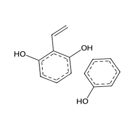 C=Cc1c(O)cccc1O.Oc1ccccc1